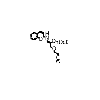 CCCCCCCCOC(=CNC1C=Cc2ccccc2O1)COCC=C=O